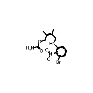 CC(CNc1cccc(Br)c1[N+](=O)[O-])=C(C)COC(N)=O